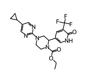 CCOC(=O)N1CCN(c2ncc(C3CC3)cn2)CC1c1c[nH]c(=O)c(C(F)(F)F)c1